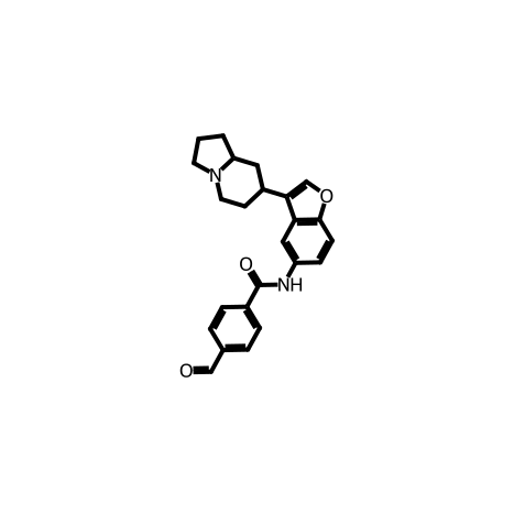 O=Cc1ccc(C(=O)Nc2ccc3occ(C4CCN5CCCC5C4)c3c2)cc1